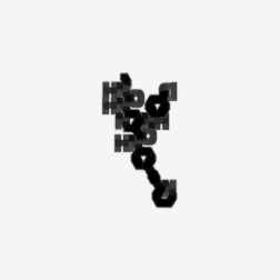 CCNC(=O)Nc1cc(Nc2ccc(Cl)cc2)c(C(=O)Nc2ccc(C#Cc3ccccn3)cc2)cn1